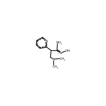 CN(C)CC(/C(N)=N/O)c1ccccn1